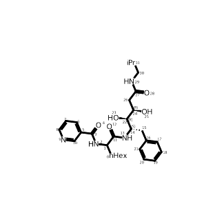 CCCCCCC(NC(=O)c1cccnc1)C(=O)N[C@@H](Cc1ccccc1)[C@@H](O)[C@H](O)CC(=O)NCC(C)C